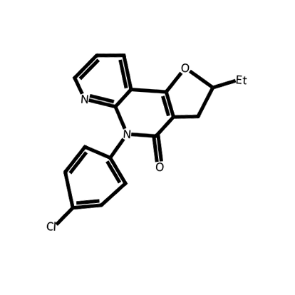 CCC1Cc2c(c3cccnc3n(-c3ccc(Cl)cc3)c2=O)O1